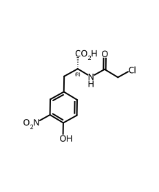 O=C(CCl)N[C@H](Cc1ccc(O)c([N+](=O)[O-])c1)C(=O)O